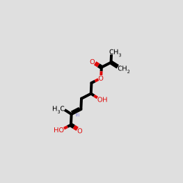 C=C(C)C(=O)OCC(O)C/C=C(\C)C(=O)O